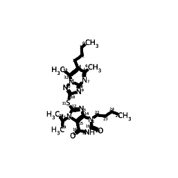 CCCCc1c(C)nc2nc(Sc3nc4c(c(=O)[nH]c(=O)n4CCCC)n3C(C)C)nn2c1C